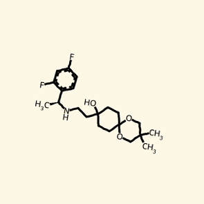 C[C@H](NCCC1(O)CCC2(CC1)OCC(C)(C)CO2)c1ccc(F)cc1F